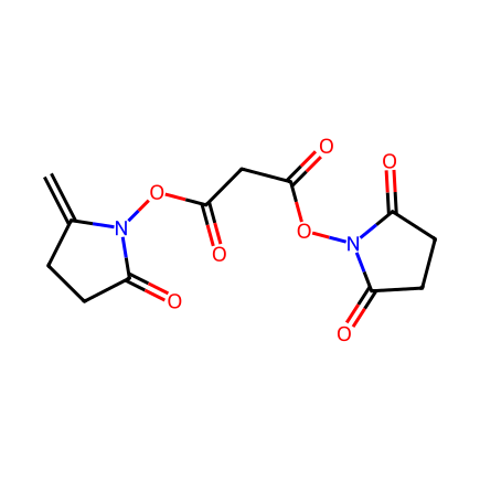 C=C1CCC(=O)N1OC(=O)CC(=O)ON1C(=O)CCC1=O